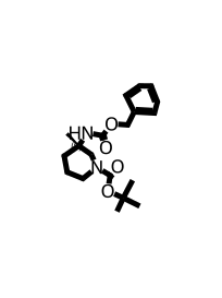 CC(C)(C)OC(=O)N1CCC[C@](C)(NC(=O)OCc2ccccc2)C1